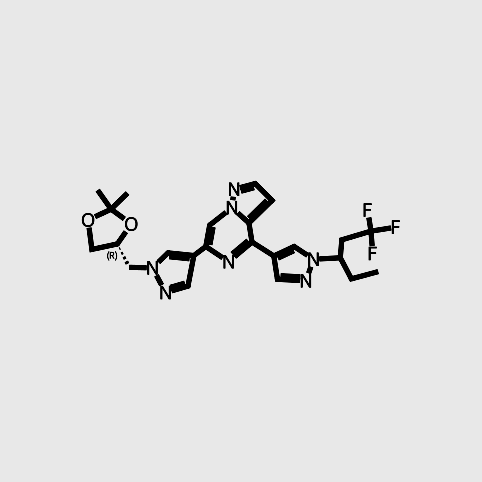 CCC(CC(F)(F)F)n1cc(-c2nc(-c3cnn(C[C@@H]4COC(C)(C)O4)c3)cn3nccc23)cn1